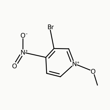 CO[n+]1ccc([N+](=O)[O-])c(Br)c1